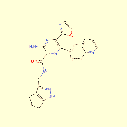 Nc1nc(-c2ncco2)c(-c2ccc3ncccc3c2)nc1C(=O)NCc1n[nH]c2c1CCC2